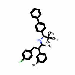 CC(N[C@@H](c1ccc(-c2ccccc2)cc1)C(C)(C)C#N)C(Cc1ccc(Cl)cc1)c1cccc(C#N)c1